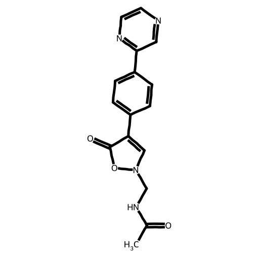 CC(=O)NCn1cc(-c2ccc(-c3cnccn3)cc2)c(=O)o1